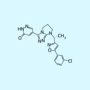 C[C@H](c1cc(-c2cccc(Cl)c2)on1)N1CCCn2c(-c3cn[nH]c(=O)c3)nnc21